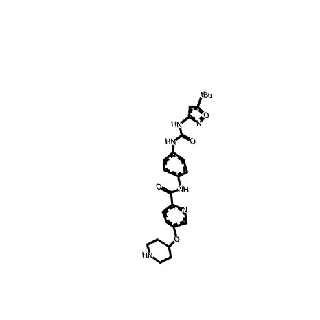 CC(C)(C)c1cc(NC(=O)Nc2ccc(NC(=O)c3ccc(OC4CCNCC4)cn3)cc2)no1